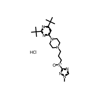 Cl.Cn1cnc([S+]([O-])CCCN2CCN(c3cc(C(C)(C)C)nc(C(C)(C)C)n3)CC2)n1